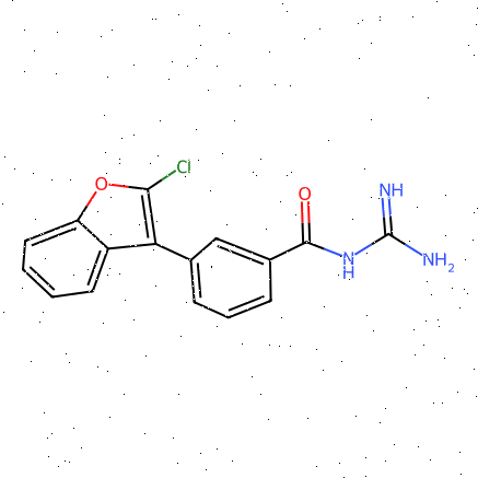 N=C(N)NC(=O)c1cccc(-c2c(Cl)oc3ccccc23)c1